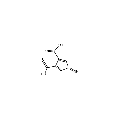 N=S1C=C(C(=O)O)C(C(=O)O)=C1